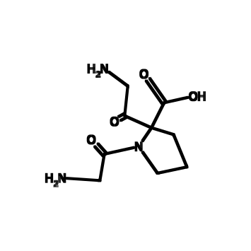 NCC(=O)N1CCCC1(C(=O)O)C(=O)CN